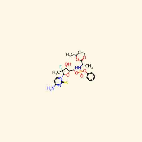 CC(C)OC(=O)[C@H](C)NP(=O)(OCC1O[C@@H](n2ccc(N)nc2=S)C(C)(F)[C@H]1O)Oc1ccccc1